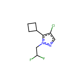 FC(F)Cn1n[c]c(Cl)c1C1CCC1